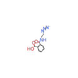 [N-]=[N+]=NCCNC(=O)c1ccccc1C(=O)O